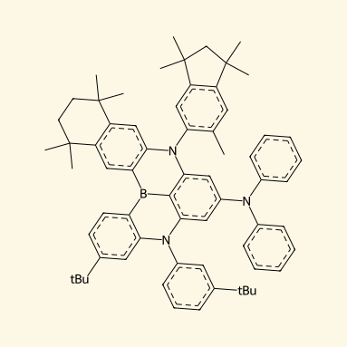 Cc1cc2c(cc1N1c3cc4c(cc3B3c5ccc(C(C)(C)C)cc5N(c5cccc(C(C)(C)C)c5)c5cc(N(c6ccccc6)c6ccccc6)cc1c53)C(C)(C)CCC4(C)C)C(C)(C)CC2(C)C